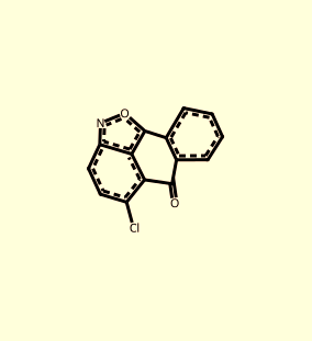 O=C1c2ccccc2-c2onc3ccc(Cl)c1c23